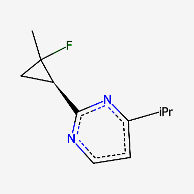 CC(C)c1ccnc([C@H]2CC2(C)F)n1